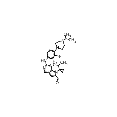 CC(C)N1CCN(c2ccc(Nc3ncc4cc(C=O)n(C5(C(C)C)CC5)c4n3)cc2F)CC1